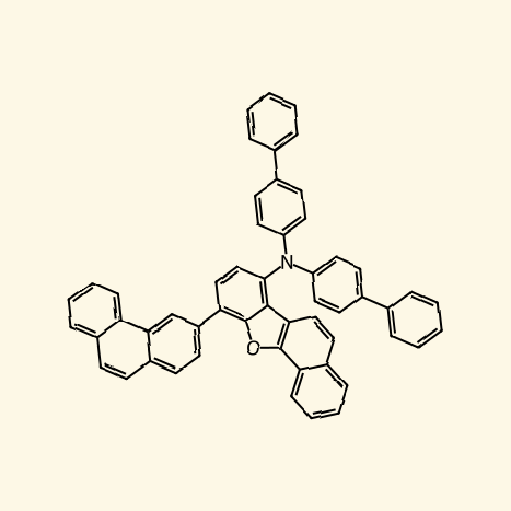 c1ccc(-c2ccc(N(c3ccc(-c4ccccc4)cc3)c3ccc(-c4ccc5ccc6ccccc6c5c4)c4oc5c6ccccc6ccc5c34)cc2)cc1